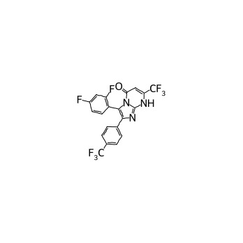 O=c1cc(C(F)(F)F)[nH]c2nc(-c3ccc(C(F)(F)F)cc3)c(-c3ccc(F)cc3F)n12